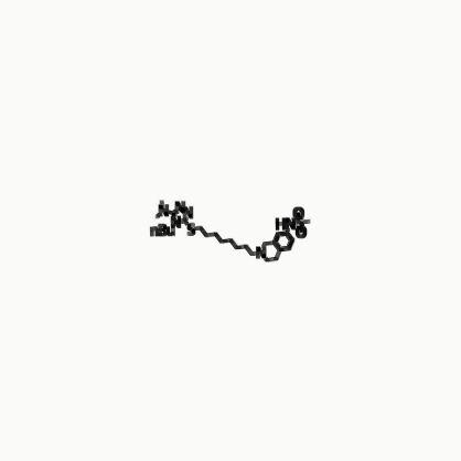 CCCCn1c(SCCCCCCCCN2CCc3ccc(NS(C)(=O)=O)cc3C2)nnc1N(C)C